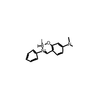 CN(C)c1ccc2c(c1)O[B-](I)(I)[N+](c1ccccc1)=C2